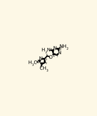 Cc1cc(COc2cnc(N)nc2N)nn1C